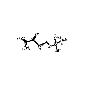 C=C(C)C(=O)NCO[Si](CCC)(OC)OC